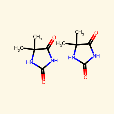 CC1(C)NC(=O)NC1=O.CC1(C)NC(=O)NC1=O